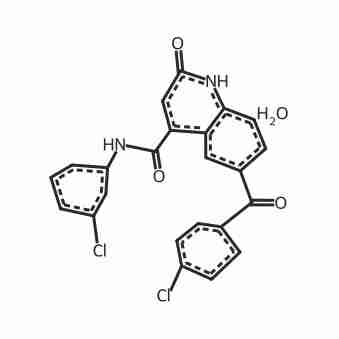 O.O=C(c1ccc(Cl)cc1)c1ccc2[nH]c(=O)cc(C(=O)Nc3cccc(Cl)c3)c2c1